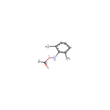 Cc1cccc(C)c1NOC(=O)C(C)C